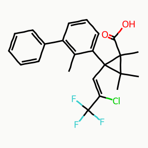 Cc1c(-c2ccccc2)cccc1C1(C=C(Cl)C(F)(F)F)C(C)(C)C1(C)C(=O)O